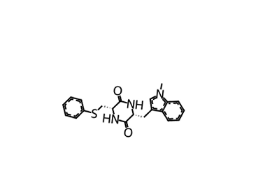 Cn1cc(C[C@H]2NC(=O)[C@@H](CSc3ccccc3)NC2=O)c2ccccc21